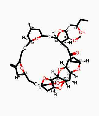 C=C1C[C@@H]2CC[C@@]34C[C@H]5O[C@H]6[C@@H](O3)[C@H]3O[C@H](CC[C@@H]3O[C@H]6[C@H]5O4)CC(=O)C[C@@H]3[C@@H](OC)[C@@H](C[C@H](O)CC)O[C@H]3CC3C[C@H](C)C[C@H](CCC1O2)O3